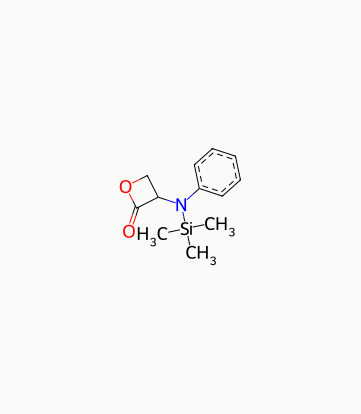 C[Si](C)(C)N(c1ccccc1)C1COC1=O